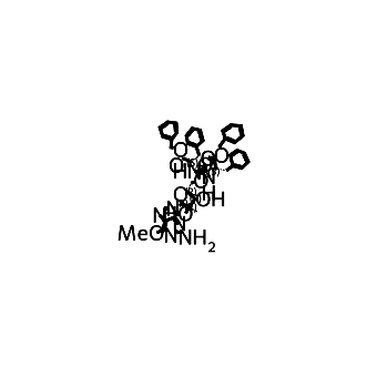 COc1nc(N)nc2c1ncn2[C@@H]1O[C@H](COP(=O)(N[C@@H](Cc2ccccc2)C(=O)OCc2ccccc2)N[C@@H](Cc2ccccc2)C(=O)OCc2ccccc2)[C@@H](O)[C@@]1(C)O